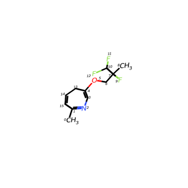 CC1=NC=C(OCC(C)(F)C(F)F)CC=C1